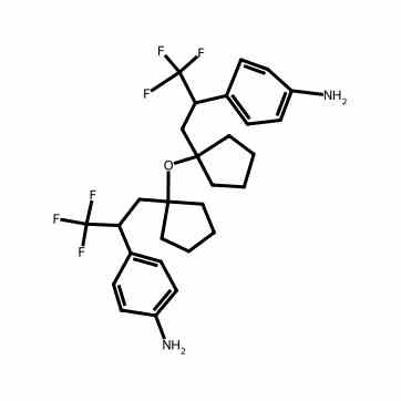 Nc1ccc(C(CC2(OC3(CC(c4ccc(N)cc4)C(F)(F)F)CCCC3)CCCC2)C(F)(F)F)cc1